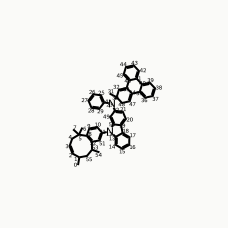 CC1/C=C\CC(C)(C)c2ccc(-n3c4ccccc4c4ccc(N(c5ccccc5)C5(C)C=c6c(c7ccccc7c7ccccc67)=CC5)cc43)cc2C(C)C1